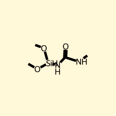 CNC(=O)N[SiH](OC)OC